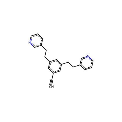 C#Cc1cc(CCc2cccnc2)cc(CCc2cccnc2)c1